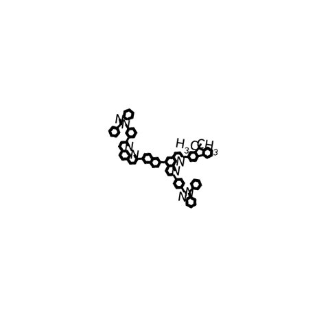 CC1(C)c2ccccc2-c2ccc(-c3ccc4cc(-c5ccc6cc(-c7ccc8ccc9ccc(-c%10cccc(-n%11c(-c%12ccccc%12)nc%12ccccc%12%11)c%10)nc9c8n7)ccc6c5)c5ccc(-c6ccc(-c7nc8ccccc8n7-c7ccccc7)cc6)nc5c4n3)cc21